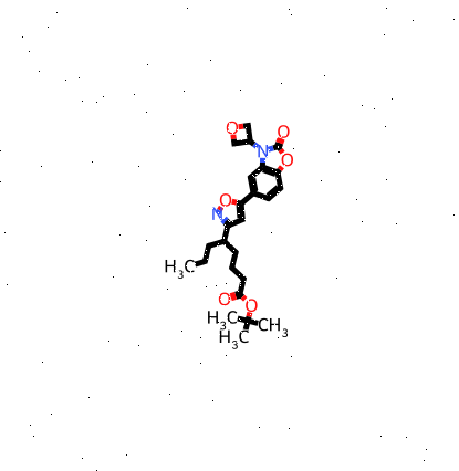 CCCC(CCCC(=O)OC(C)(C)C)c1cc(-c2ccc3oc(=O)n(C4COC4)c3c2)on1